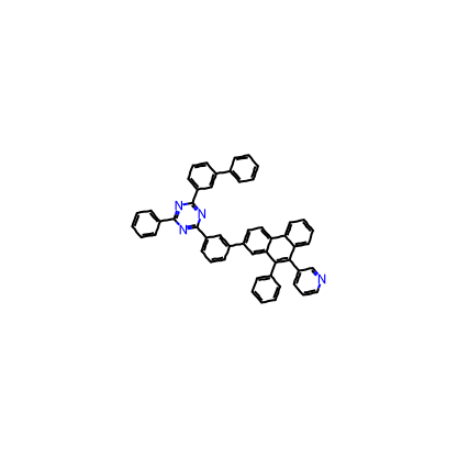 c1ccc(-c2cccc(-c3nc(-c4ccccc4)nc(-c4cccc(-c5ccc6c(c5)c(-c5ccccc5)c(-c5cccnc5)c5ccccc56)c4)n3)c2)cc1